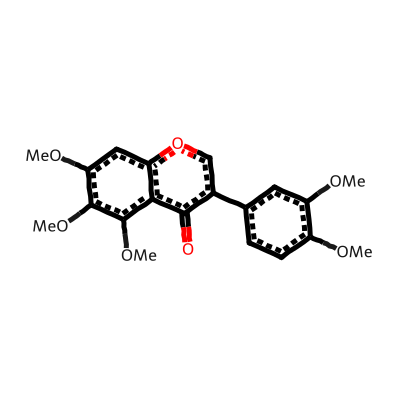 COc1ccc(-c2coc3cc(OC)c(OC)c(OC)c3c2=O)cc1OC